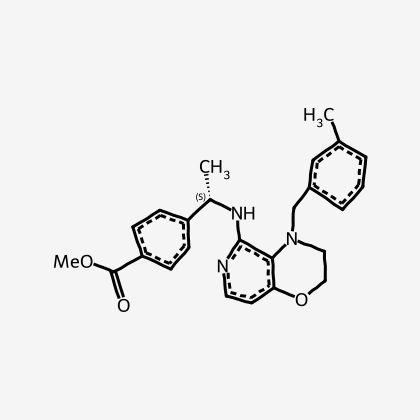 COC(=O)c1ccc([C@H](C)Nc2nccc3c2N(Cc2cccc(C)c2)CCO3)cc1